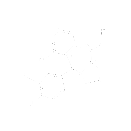 CC(C)(C)OC(=O)N1CCCC1N(c1ccc(F)c(Cl)c1)c1ncccc1C#N